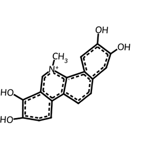 C[n+]1cc2c(O)c(O)ccc2c2ccc3cc(O)c(O)cc3c21